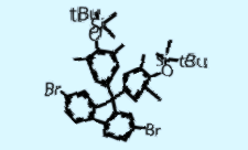 Cc1cc(C2(c3cc(C)c(O[Si](C)(C)C(C)(C)C)c(C)c3)c3cc(Br)ccc3-c3ccc(Br)cc32)cc(C)c1O[Si](C)(C)C(C)(C)C